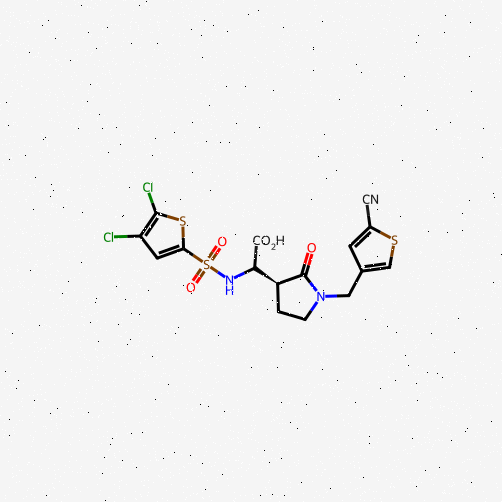 N#Cc1cc(CN2CC[C@@H](C(NS(=O)(=O)c3cc(Cl)c(Cl)s3)C(=O)O)C2=O)cs1